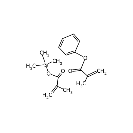 C=C(C)C(=O)O[Si](C)(C)C.C=C(C)C(=O)Oc1ccccc1